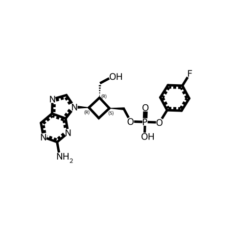 Nc1ncc2ncn([C@@H]3C[C@H](COP(=O)(O)Oc4ccc(F)cc4)[C@H]3CO)c2n1